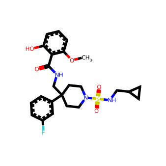 COc1cccc(O)c1C(=O)NCC1(c2cccc(F)c2)CCN(S(=O)(=O)NCC2CC2)CC1